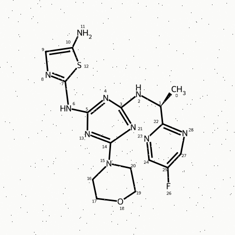 C[C@H](Nc1nc(Nc2ncc(N)s2)nc(N2CCOCC2)n1)c1ncc(F)cn1